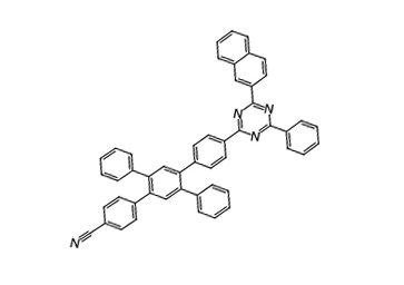 N#Cc1ccc(-c2cc(-c3ccccc3)c(-c3ccc(-c4nc(-c5ccccc5)nc(-c5ccc6ccccc6c5)n4)cc3)cc2-c2ccccc2)cc1